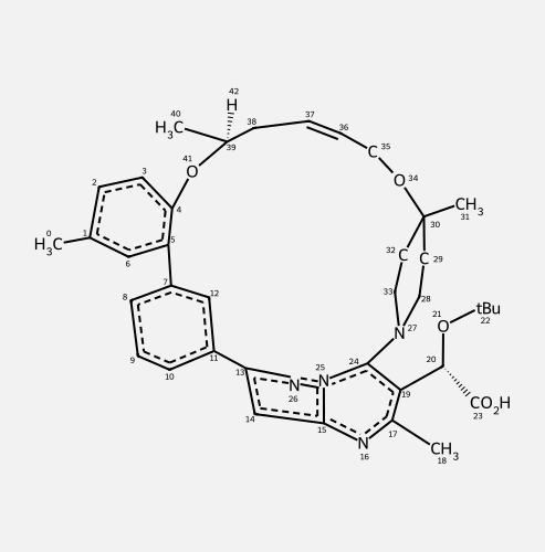 Cc1ccc2c(c1)-c1cccc(c1)-c1cc3nc(C)c([C@H](OC(C)(C)C)C(=O)O)c(n3n1)N1CCC(C)(CC1)OC/C=C\C[C@H](C)O2